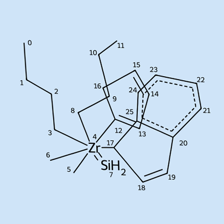 CCC[CH2][Zr]([CH3])([CH3])(=[SiH2])([CH2]CCC)([C]1=CC=CC1)[CH]1C=Cc2ccccc21